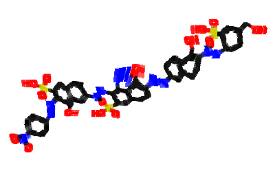 Nc1c(N=Nc2ccc3cc(S(=O)(=O)O)c(N=Nc4ccc([N+](=O)[O-])cc4)c(O)c3c2)c(S(=O)(=O)O)cc2ccc(N=Nc3ccc4c(O)c(N=Nc5ccc(CO)cc5S(=O)(=O)O)ccc4c3)c(O)c12